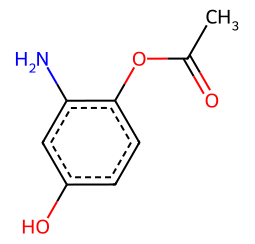 CC(=O)Oc1ccc(O)cc1N